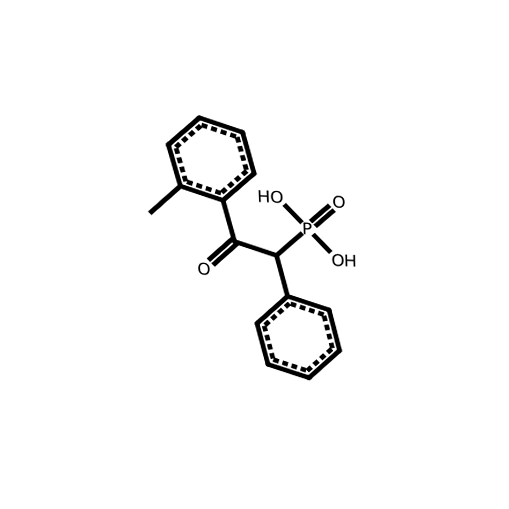 Cc1ccccc1C(=O)C(c1ccccc1)P(=O)(O)O